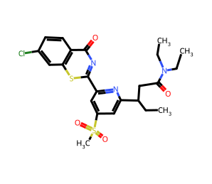 CCC(CC(=O)N(CC)CC)c1cc(S(C)(=O)=O)cc(-c2nc(=O)c3ccc(Cl)cc3s2)n1